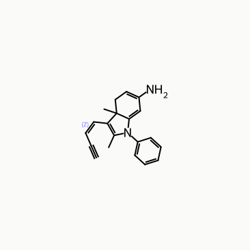 C#C/C=C\C1=C(C)N(c2ccccc2)C2=CC(N)=CCC21C